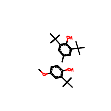 COc1ccc(O)c(C(C)(C)C)c1.Cc1cc(C(C)(C)C)c(O)c(C(C)(C)C)c1